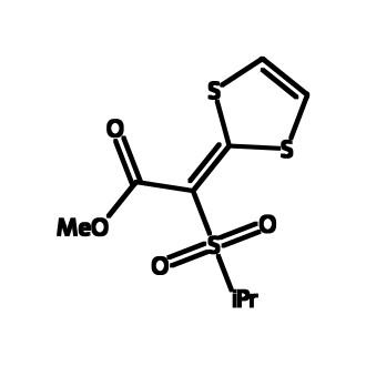 COC(=O)C(=C1SC=CS1)S(=O)(=O)C(C)C